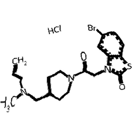 C=CCN(C)CC1CCN(C(=O)Cn2c(=O)sc3ccc(Br)cc32)CC1.Cl